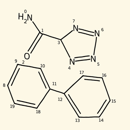 NC(=O)C1N=NN=N1.c1ccc(-c2ccccc2)cc1